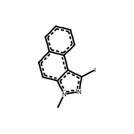 Cn1nc(I)c2c3ccccc3ccc21